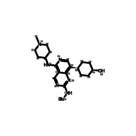 CC[C@H](C)Nc1ncc2c(NC3CCN(C)CC3)ncc([C@H]3CC[C@H](O)CC3)c2n1